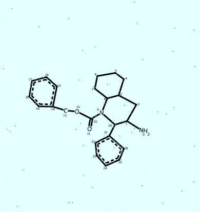 NC1CC2CCCCC2N(C(=O)OCc2ccccc2)C1c1ccccc1